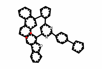 c1ccc(-c2ccc(-c3nc(-c4ccccc4-c4cc5ccccc5c5ccccc45)cc(-c4cccc5c4oc4ccccc45)n3)cc2)cc1